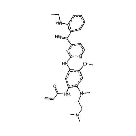 C=CC(=O)Nc1cc(Nc2nccc(C(=N)c3ccccc3NCC)n2)c(OC)cc1N(C)CCN(C)C